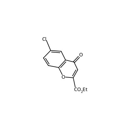 CCOC(=O)c1cc(=O)c2cc(Cl)ccc2o1